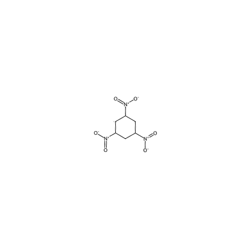 O=[N+]([O-])C1[CH]C([N+](=O)[O-])CC([N+](=O)[O-])C1